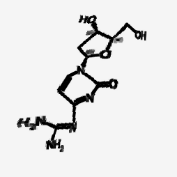 NC(N)=Nc1ccn([C@H]2C[C@@H](O)[C@@H](CO)O2)c(=O)n1